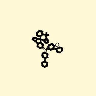 CC1(C)c2ccccc2C2(c3ccccc3-c3ccc(N(c4ccc(-c5ccccc5)cc4)c4ccc5oc6ccccc6c5c4)cc32)c2ccccc21